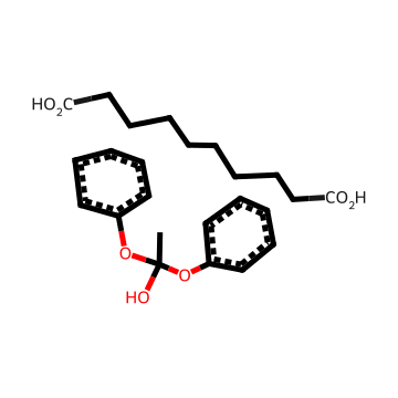 CC(O)(Oc1ccccc1)Oc1ccccc1.O=C(O)CCCCCCCCC(=O)O